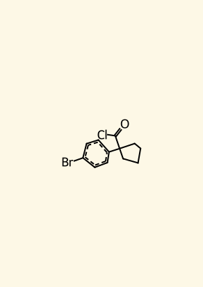 O=C(Cl)C1(c2ccc(Br)cc2)CCCC1